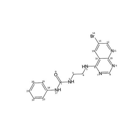 O=C(NCCNc1ncnc2ncc(Br)cc12)Nc1ccccc1